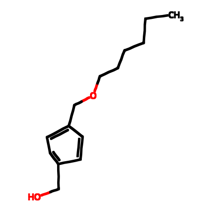 CCCCCCOCc1ccc(CO)cc1